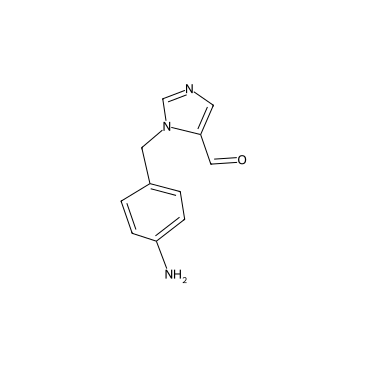 Nc1ccc(Cn2cncc2C=O)cc1